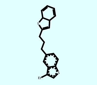 CCc1csc2ccc(CCCC3=CC4C=CC=CC4S3)cc12